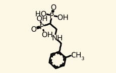 Cc1ccccc1CNCC(P(=O)(O)O)P(=O)(O)O